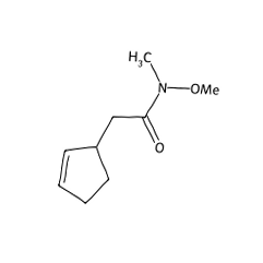 CON(C)C(=O)CC1C=CCC1